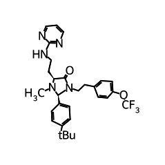 CN1[C@H](c2ccc(C(C)(C)C)cc2)N(CCc2ccc(OC(F)(F)F)cc2)C(=O)[C@@H]1CCNc1ncccn1